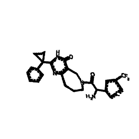 NC(C(=O)N1CCCc2nc(C3(c4ccccc4)CC3)[nH]c(=O)c2C1)c1cccc(C(F)(F)F)c1